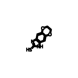 Sc1nc2cc3c(cc2[nH]1)OCCO3